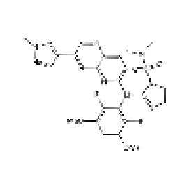 COc1cc(OC)c(F)c(N(c2ccc3ncc(-c4cnn(C)c4)nc3n2)c2nccn2S(=O)(=O)N(C)C)c1F